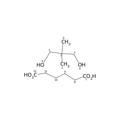 CC(C)(CO)CO.O=C(O)CCCCC(=O)O